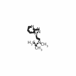 CN(C)N(C)C=Cn1nnc2ncccc21